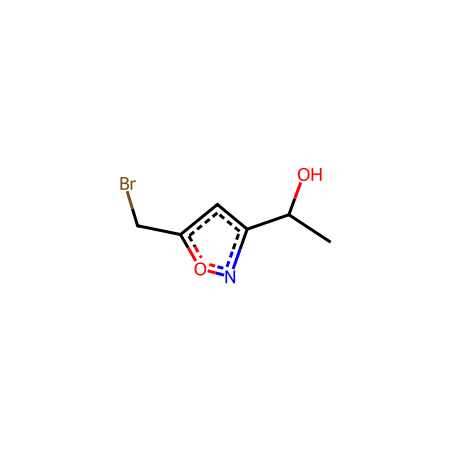 CC(O)c1cc(CBr)on1